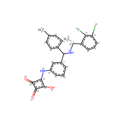 Cc1ccc(C(N[C@H](C)c2cccc(F)c2F)c2cccc(Nc3c(O)c(=O)c3=O)c2)cc1